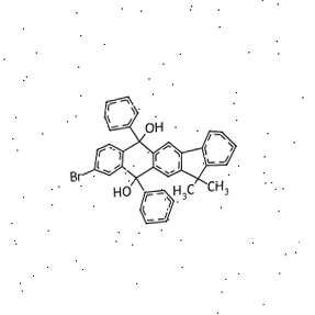 CC1(C)c2ccccc2-c2cc3c(cc21)C(O)(c1ccccc1)c1cc(Br)ccc1C3(O)c1ccccc1